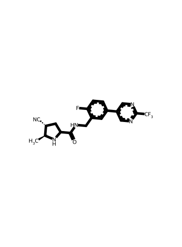 C[C@@H]1NC(C(=O)NCc2cc(-c3cnc(C(F)(F)F)nc3)ccc2F)C[C@H]1C#N